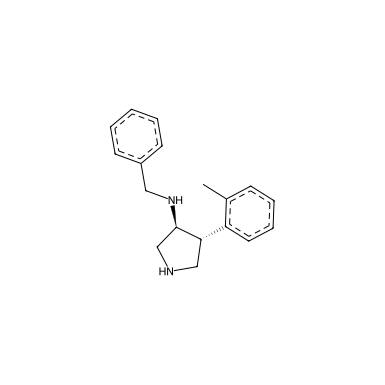 Cc1ccccc1[C@@H]1CNC[C@H]1NCc1ccccc1